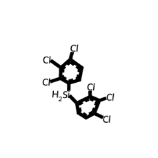 Clc1ccc([SiH2]c2ccc(Cl)c(Cl)c2Cl)c(Cl)c1Cl